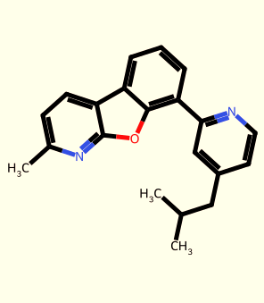 Cc1ccc2c(n1)oc1c(-c3cc(CC(C)C)ccn3)cccc12